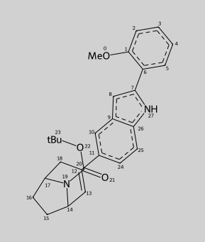 COc1ccccc1-c1cc2cc(C3=CC4CCC(C3)N4C(=O)OC(C)(C)C)ccc2[nH]1